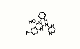 OC1c2cc(F)ccc2N=C(Nc2cnccn2)N1c1ccccc1